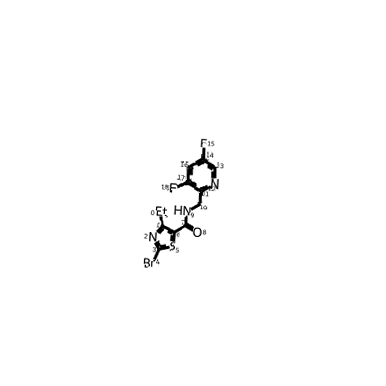 CCc1nc(Br)sc1C(=O)NCc1ncc(F)cc1F